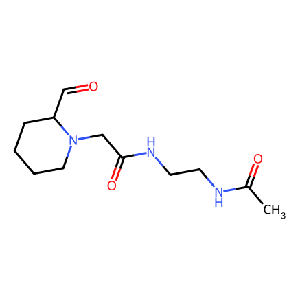 CC(=O)NCCNC(=O)CN1CCCCC1C=O